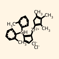 CC1=C(C)C(C)=[C]([Zr+2][C]2=C([SiH](c3ccccc3C)c3ccccc3C)C=CC2)C1.[Cl-].[Cl-]